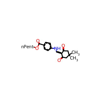 CCCCCOC(=O)c1ccc(NC=C2C(=O)CC(C)(C)CC2=O)cc1